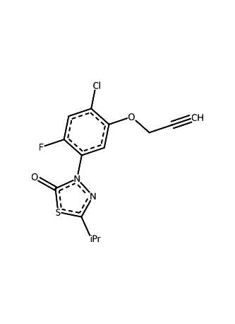 C#CCOc1cc(-n2nc(C(C)C)sc2=O)c(F)cc1Cl